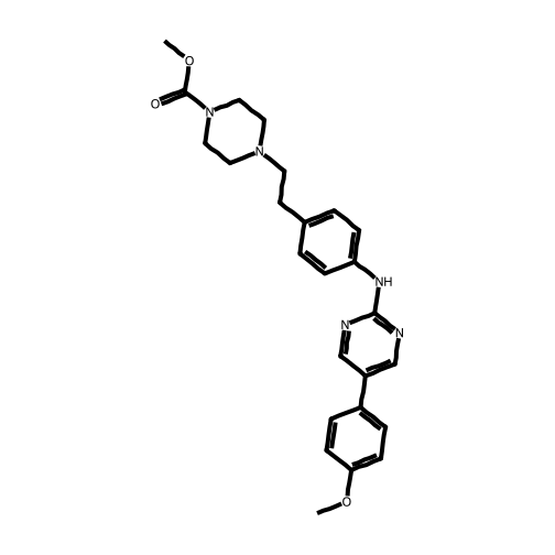 COC(=O)N1CCN(CCc2ccc(Nc3ncc(-c4ccc(OC)cc4)cn3)cc2)CC1